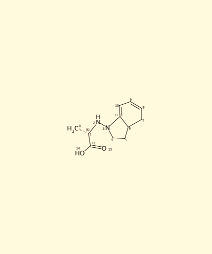 C[C@H](NN1CCC2CC=CC=C21)C(=O)O